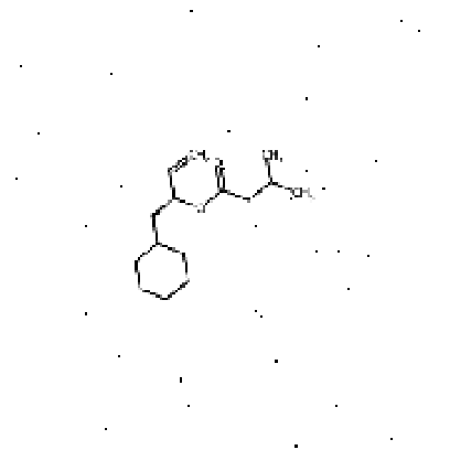 C=C[C@H](CC1CCCCC1)OC(=O)CC(C)C